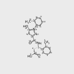 Cc1ccccc1[C@H](CC(=O)O)NC(=O)c1cc(O)n(-c2ccccc2C)n1